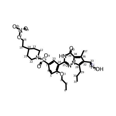 CCCOc1ccc(S(=O)(=O)N2CCC(CCO[N+](=O)[O-])CC2)cc1-c1nn2c(CCC)c(/C=N/O)c(C)c2c(=O)[nH]1